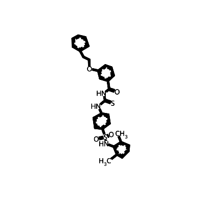 Cc1cccc(C)c1NS(=O)(=O)c1ccc(NC(=S)NC(=O)c2cccc(OCCc3ccccc3)c2)cc1